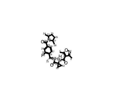 Cc1noc(C)c1C(=O)NC1(C(=O)N[C@H](C)c2ccc(C(=O)N3C(C)CCC3C)cc2F)CC1